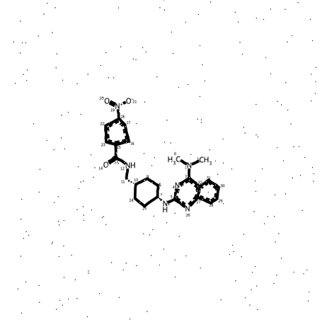 CN(C)c1nc(N[C@H]2CC[C@@H](CNC(=O)c3ccc([N+](=O)[O-])cc3)CC2)nc2ccccc12